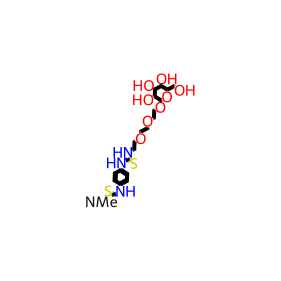 CNC(=S)Nc1ccc(NC(=S)NCCOCCOCCO[C@H]2OC(CO)[C@@H](O)[C@H](O)C2O)cc1